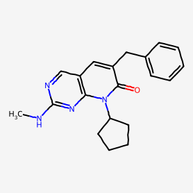 CNc1ncc2cc(Cc3ccccc3)c(=O)n(C3CCCC3)c2n1